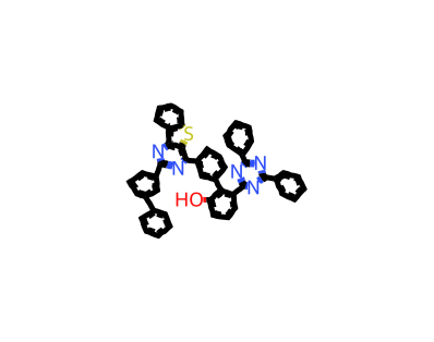 Oc1cccc(-c2nc(-c3ccccc3)nc(-c3ccccc3)n2)c1-c1cccc(-c2nc(-c3cccc(-c4ccccc4)c3)nc3c2sc2ccccc23)c1